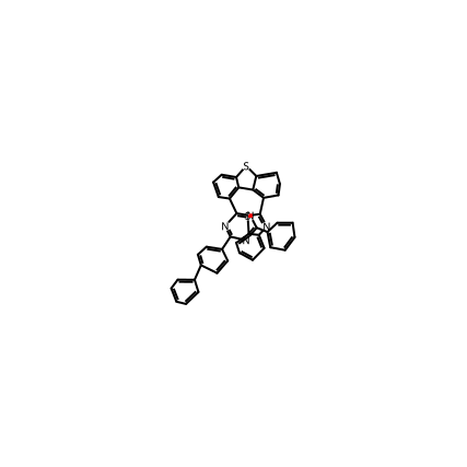 c1ccc(-c2ccc(-c3nc(-c4ccccc4)nc(-c4cccc5sc6cccc(-c7nc8ccccc8s7)c6c45)n3)cc2)cc1